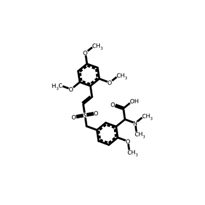 COc1cc(OC)c(C=CS(=O)(=O)Cc2ccc(OC)c(C(C(=O)O)N(C)C)c2)c(OC)c1